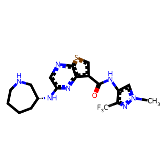 Cn1cc(NC(=O)c2csc3ncc(N[C@@H]4CCCCNC4)nc23)c(C(F)(F)F)n1